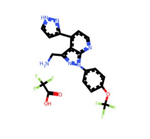 NCc1nn(-c2ccc(OC(F)(F)F)cc2)c2nccc(-c3cc[nH]n3)c12.O=C(O)C(F)(F)F